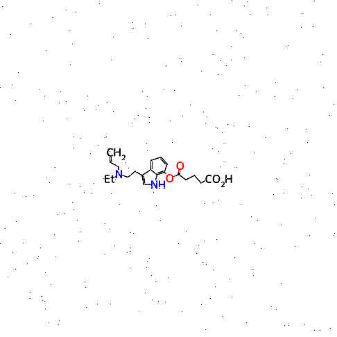 C=CCN(CC)CCc1c[nH]c2c(OC(=O)CCCC(=O)O)cccc12